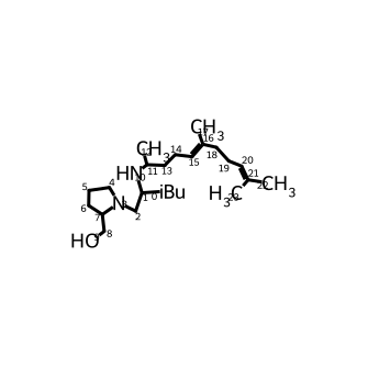 CCC(C)C(CN1CCCC1CO)NC(C)CC/C=C(\C)CCC=C(C)C